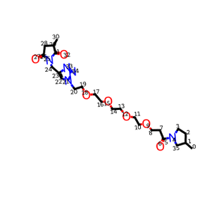 CC1CCN(C(=O)CCOCCOCCOCCOCCn2cc(CN3C(=O)CC(C)C3=O)nn2)C1